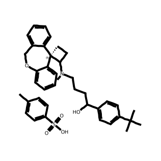 CN(CCCC(O)c1ccc(C(C)(C)C)cc1)C1CC[C@]12c1ccccc1COc1ccccc12.Cc1ccc(S(=O)(=O)O)cc1